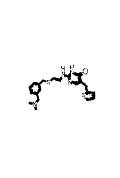 CN(C)Cc1cccc(CSCCNc2ncc(Cc3cccs3)c(=O)[nH]2)c1